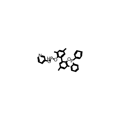 Cc1cc(C)c(OPOc2cccnc2)c(-c2cc(C)cc(C)c2OP(c2ccccc2)c2ccccc2)c1